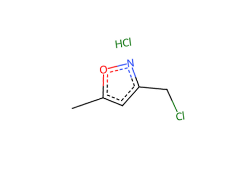 Cc1cc(CCl)no1.Cl